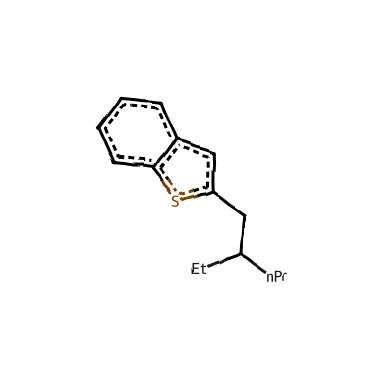 CCCC(CC)Cc1cc2ccccc2s1